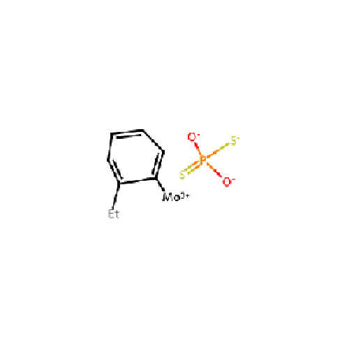 CCc1cccc[c]1[Mo+3].[O-]P([O-])(=S)[S-]